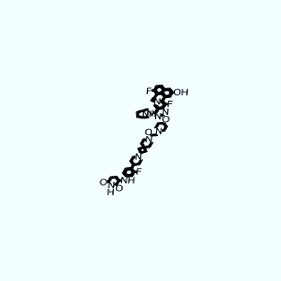 C#Cc1c(F)ccc2cc(O)cc(-c3ncc4c(N5CC6CCC(C5)N6)nc(OC5CCN(CC(=O)N6CCC7(CC6)CC(N6CCC(c8ccc(NC9CCC(=O)NC9=O)cc8F)CC6)C7)CC5)nc4c3F)c12